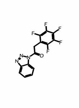 O=C(Cc1c(F)c(F)c(F)c(F)c1F)n1nnc2ccccc21